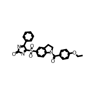 CCOc1ccc(C(=O)N2CCc3cc(S(=O)(=O)C4=NC(=O)N=C4c4ccccc4)ccc32)cc1